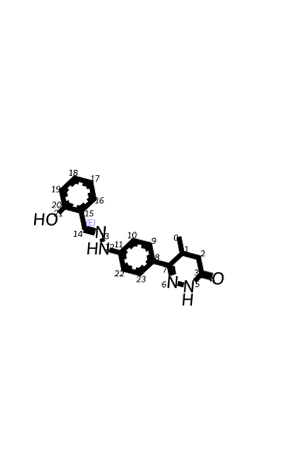 CC1CC(=O)NN=C1c1ccc(N/N=C/c2ccccc2O)cc1